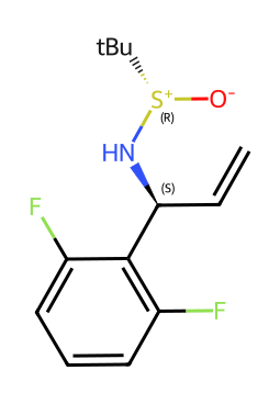 C=C[C@H](N[S@@+]([O-])C(C)(C)C)c1c(F)cccc1F